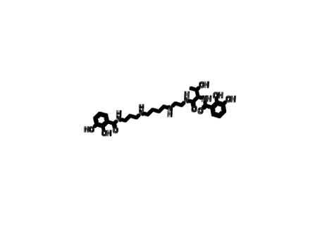 CC(O)C(NC(=O)c1cccc(O)c1O)C(=O)NCCNCCCCNCCCNC(=O)c1cccc(O)c1O